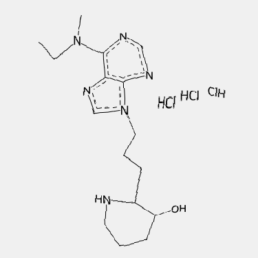 CCN(C)c1ncnc2c1ncn2CCCC1NCCCC1O.Cl.Cl.Cl